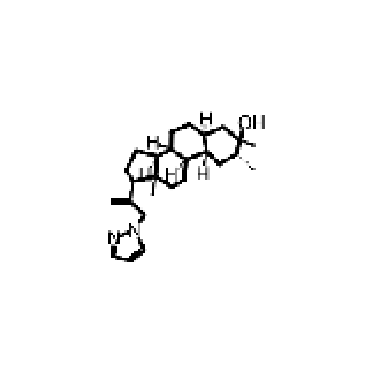 C=C(Cn1cccn1)[C@H]1CC[C@H]2[C@@H]3CC[C@H]4C[C@](C)(O)[C@H](C)C[C@@H]4[C@H]3CC[C@]12C